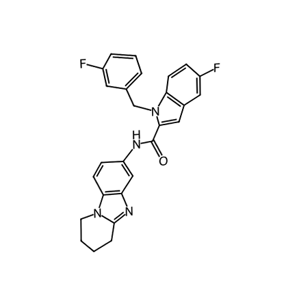 O=C(Nc1ccc2c(c1)nc1n2CCCC1)c1cc2cc(F)ccc2n1Cc1cccc(F)c1